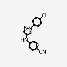 N#Cc1ccc(Nc2cnn(-c3ccc(Cl)cc3)c2)cn1